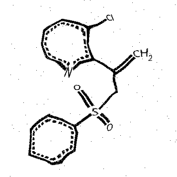 C=C(CS(=O)(=O)c1ccccc1)c1ncccc1Cl